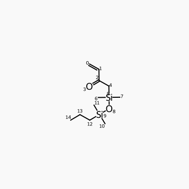 C=CC(=O)C[Si](C)(C)O[Si](C)(C)CCC